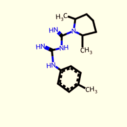 Cc1ccc(NC(=N)NC(=N)N2C(C)CCCC2C)cc1